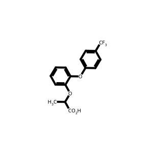 CC(Oc1ccccc1Oc1ccc(C(F)(F)F)cc1)C(=O)O